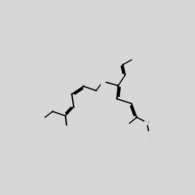 CC\C(=C/C=C(\C=C\F)OC/C=C\C=C(\F)CF)NN